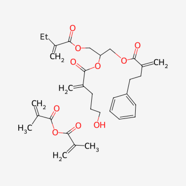 C=C(C)C(=O)OC(=O)C(=C)C.C=C(CC)C(=O)OCC(COC(=O)C(=C)CCc1ccccc1)OC(=O)C(=C)CCCO